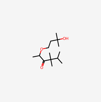 CC(OCCC(C)(C)O)C(=O)C(C)(C)C(C)C